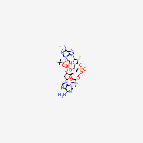 C=CP(=O)(OCOC(=O)C(C)(C)C)O[C@H]1[C@@H](F)[C@H](n2cnc3c(N)ncnc32)O[C@@H]1COP(=O)(OCOC(=O)C(C)(C)C)O[C@H]1C[C@H](n2cnc3c(N)ncnc32)OC1=C